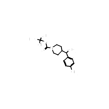 [CH2]c1ccc(C([CH2])C2CCN(C(=O)OC(C)(C)C)CC2)cc1